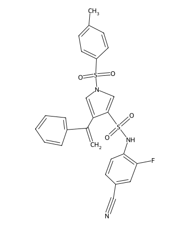 C=C(c1ccccc1)c1cn(S(=O)(=O)c2ccc(C)cc2)cc1S(=O)(=O)Nc1ccc(C#N)cc1F